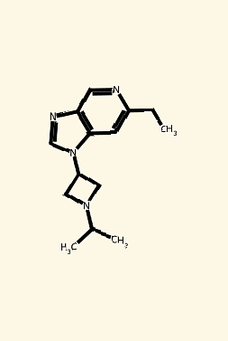 CCc1cc2c(cn1)ncn2C1CN(C(C)C)C1